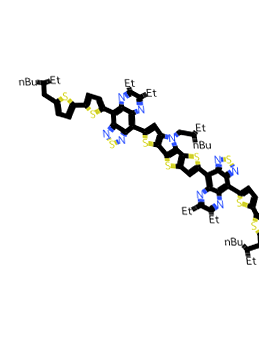 CCCCC(CC)Cc1ccc(-c2ccc(-c3c4nsnc4c(-c4cc5c(s4)c4sc6cc(-c7c8nsnc8c(-c8ccc(-c9ccc(CC(CC)CCCC)s9)s8)c8nc(CC)c(CC)nc78)sc6c4n5CC(CC)CCCC)c4nc(CC)c(CC)nc34)s2)s1